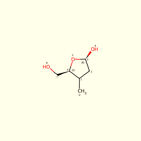 CC1C[C@H](O)O[C@@H]1CO